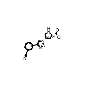 N#Cc1cccc(-c2cn([C@@H]3CN[C@H](C(=O)O)C3)nn2)c1